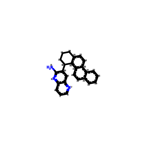 Nc1nc2cccnc2cc1C1CCCc2ccc3c(ccc4ccccc43)c21